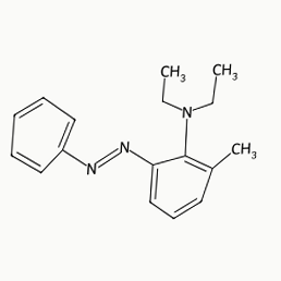 CCN(CC)c1c(C)cccc1N=Nc1ccccc1